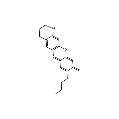 C=c1cc2c(cc1CCCC)=Nc1cc3c(cc1O2)NCCC3